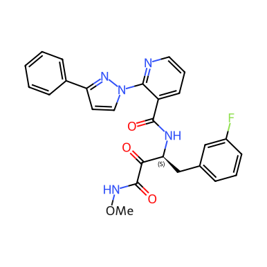 CONC(=O)C(=O)[C@H](Cc1cccc(F)c1)NC(=O)c1cccnc1-n1ccc(-c2ccccc2)n1